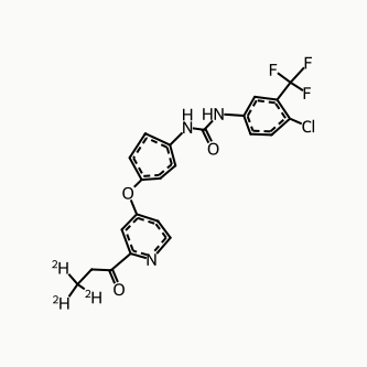 [2H]C([2H])([2H])CC(=O)c1cc(Oc2ccc(NC(=O)Nc3ccc(Cl)c(C(F)(F)F)c3)cc2)ccn1